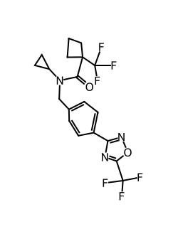 O=C(N(Cc1ccc(-c2noc(C(F)(F)F)n2)cc1)C1CC1)C1(C(F)(F)F)CCC1